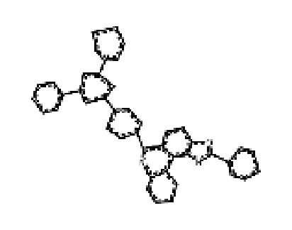 c1ccc(-c2cc(-c3ccccc3)cc(-c3ccc(-c4nc5ccccc5c5c4ccc4oc(-c6ccccc6)nc45)cc3)c2)cc1